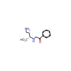 NCC[C@H](NCC(=O)c1ccccc1)C(=O)O